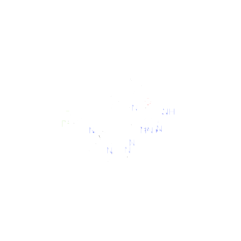 Cn1nc(-c2cn(C(C3CC3)C3CC3)c(=O)c3c(N)n[nH]c23)cc1N1CCC[C@H]1CN1CCC(F)(F)CC1